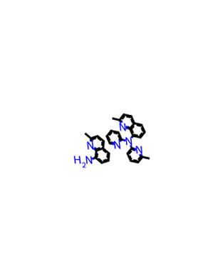 Cc1ccc2cccc(N)c2n1.Cc1cccc(N(c2ccccn2)c2cccc3ccc(C)nc23)n1